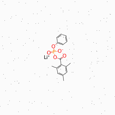 Cc1cc(C)c(C(=O)OP(=O)([O-])Oc2ccccc2)c(C)c1.[Li+]